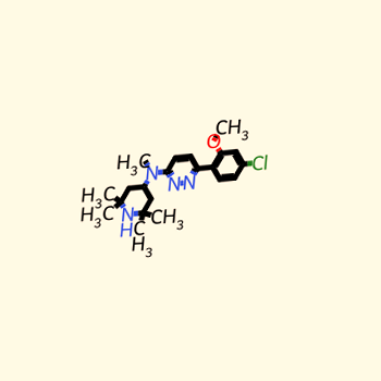 COc1cc(Cl)ccc1-c1ccc(N(C)C2CC(C)(C)NC(C)(C)C2)nn1